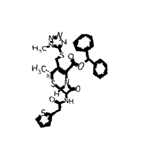 C[C@H]1S[C@H]2C(NC(=O)Cc3cccs3)C(=O)N2C(C(=O)OC(c2ccccc2)c2ccccc2)=C1CSc1nnnn1C